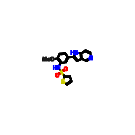 COc1ccc(-c2cc3cnccc3[nH]2)cc1NS(=O)(=O)c1cccs1